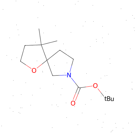 CC(C)(C)OC(=O)N1CCC2(C1)OCCC2(C)C